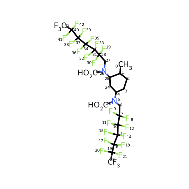 CC1CCC(N(CC(F)(F)C(F)(F)C(F)(F)C(F)(F)C(F)(F)C(F)(F)F)C(=O)O)CC1N(CC(F)(F)C(F)(F)C(F)(F)C(F)(F)C(F)(F)C(F)(F)F)C(=O)O